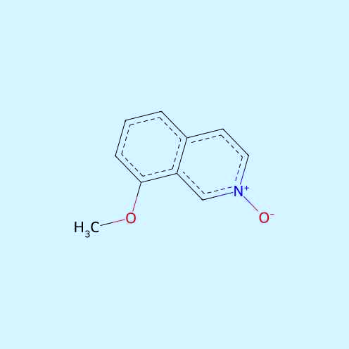 COc1cccc2cc[n+]([O-])cc12